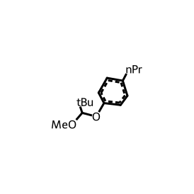 CCCc1ccc(OC(OC)C(C)(C)C)cc1